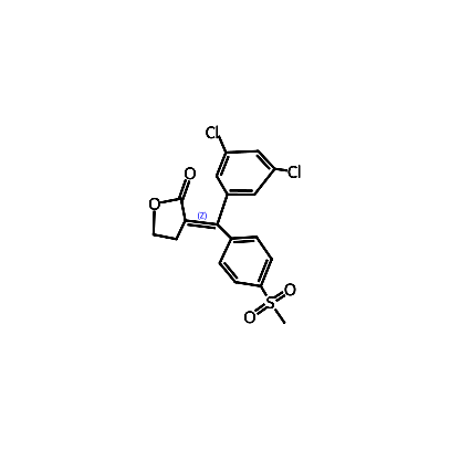 CS(=O)(=O)c1ccc(/C(=C2\CCOC2=O)c2cc(Cl)cc(Cl)c2)cc1